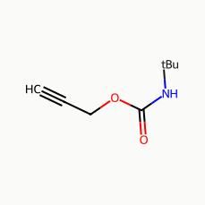 C#CCOC(=O)NC(C)(C)C